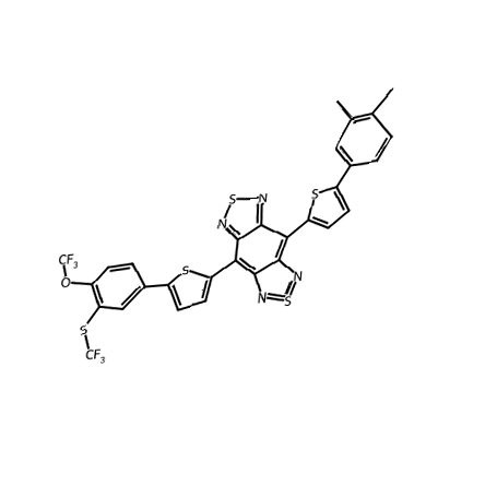 Cc1ccc(-c2ccc(-c3c4c(c(-c5ccc(-c6ccc(OC(F)(F)F)c(SC(F)(F)F)c6)s5)c5nsnc35)N=S=N4)s2)cc1C